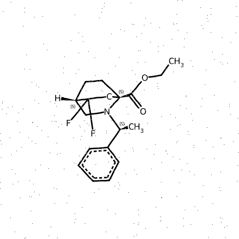 CCOC(=O)[C@@]12CC[C@@H](CN1[C@@H](C)c1ccccc1)C(F)(F)C2